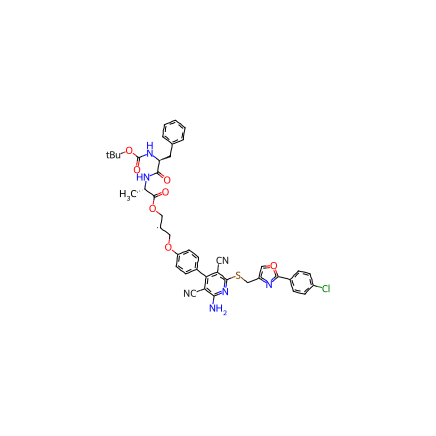 C[C@H](NC(=O)[C@H](Cc1ccccc1)NC(=O)OC(C)(C)C)C(=O)OC[CH]COc1ccc(-c2c(C#N)c(N)nc(SCc3coc(-c4ccc(Cl)cc4)n3)c2C#N)cc1